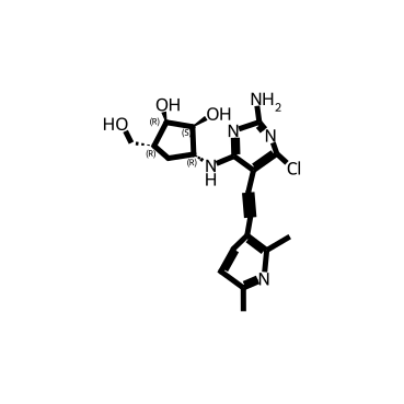 Cc1ccc(C#Cc2c(Cl)nc(N)nc2N[C@@H]2C[C@H](CO)[C@@H](O)[C@H]2O)c(C)n1